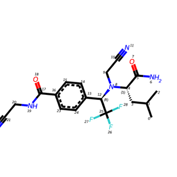 CC(C)C[C@@H](C(N)=O)N(CC#N)[C@H](c1ccc(C(=O)NCC#N)cc1)C(F)(F)F